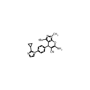 Cn1nc(C(C)(C)C)c2c1OC(N)=C(C#N)C2c1ccc(-n2ccnc2C2CC2)cc1